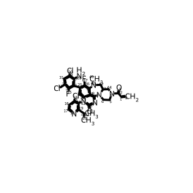 C=CC(=O)N1CCN2c3nc(=O)n(-c4c(C)ccnc4C(C)C)c4cc(-c5c(N)c(Cl)cc(Cl)c5F)c(F)c(c34)N(C)CC2C1